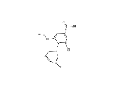 CCOc1cc(C(=O)O)cc(Cl)c1-c1cccc(F)c1